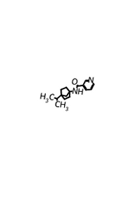 CC(C)C12CCC(NC(=O)c3cccnc3)(CC1)C2